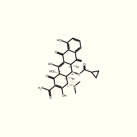 C=C1c2cccc(O)c2C(=O)C2=C(O)[C@]3(O)C(=O)C(C(N)=O)=C(O)[C@@H](N(C)C)[C@@H]3[C@H](OC(=O)C3CC3)[C@H]12